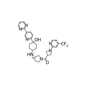 O=C(C1CN(c2cc(C(F)(F)F)ccn2)C1)N1CC[C@H](NC2CCC(O)(c3ccc(-c4ncccn4)cn3)CC2)C1